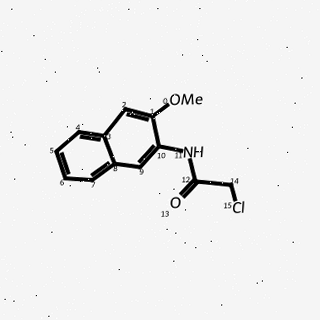 COc1cc2ccccc2cc1NC(=O)CCl